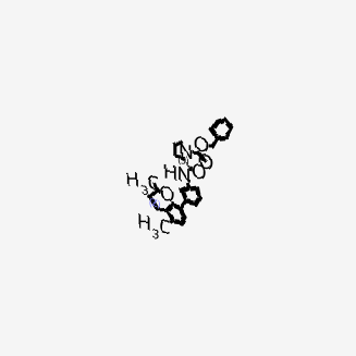 CC(=O)/C=C\c1cc(-c2cccc(NC(=O)[C@@H]3CCCN3C(=O)OCc3ccccc3)c2)ccc1C